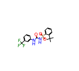 CC(C)(C)c1ccccc1S(=O)(=O)NC(=O)Nc1cccc(C(F)(F)F)c1